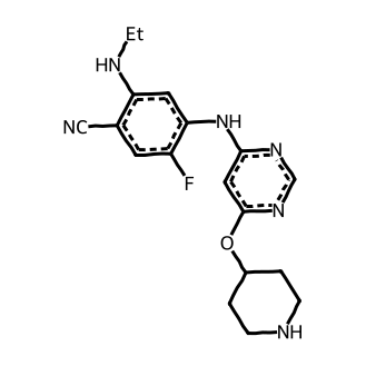 CCNc1cc(Nc2cc(OC3CCNCC3)ncn2)c(F)cc1C#N